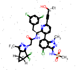 CC[C@@H](O)C#Cc1ccc(-c2ccc(Cl)c3c(NS(C)(=O)=O)nn(C)c23)c([C@H](Cc2cc(F)cc(F)c2)NC(=O)Cn2nc(C(F)(F)F)c3c2C(F)(F)[C@@H]2C[C@H]32)n1